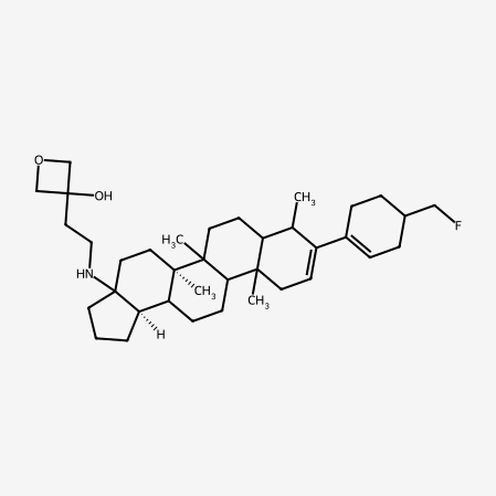 CC1C(C2=CCC(CF)CC2)=CCC2(C)C1CCC1(C)C2CCC2[C@H]3CCCC3(NCCC3(O)COC3)CC[C@]21C